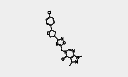 Cc1nn(C)c2ncn(Cc3nc(C4COC(c5ccc(Cl)cc5)C4)no3)c(=O)c12